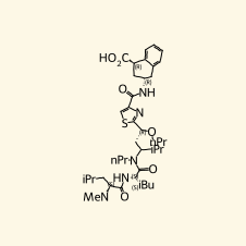 CCCO[C@H](CC(C(C)C)N(CCC)C(=O)[C@@H](NC(=O)[C@H](CC(C)C)NC)[C@@H](C)CC)c1nc(C(=O)N[C@H]2Cc3ccccc3[C@H](C(=O)O)C2)cs1